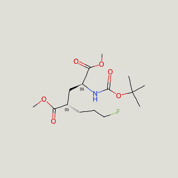 COC(=O)[C@@H](CCCF)C[C@H](NC(=O)OC(C)(C)C)C(=O)OC